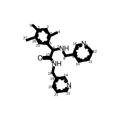 Cc1cc(C)c(C(NCc2cccnc2)C(=O)NCc2cccnc2)cc1C